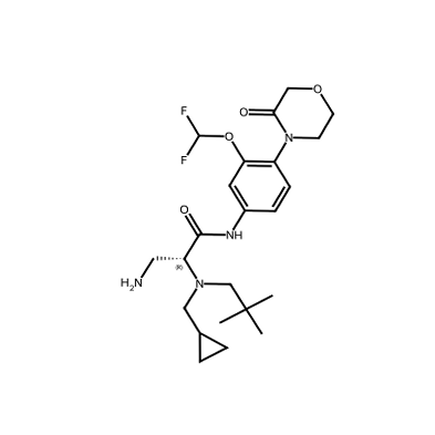 CC(C)(C)CN(CC1CC1)[C@H](CN)C(=O)Nc1ccc(N2CCOCC2=O)c(OC(F)F)c1